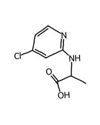 CC(Nc1cc(Cl)ccn1)C(=O)O